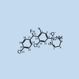 Cc1cc([N+]2([O-])N=CCCN2)cc(Cl)c1C(F)c1ccc(Cl)cc1